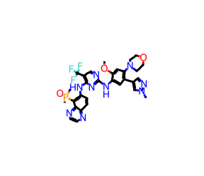 COc1cc(N2CCOCC2)c(-c2cnn(C)c2)cc1Nc1ncc(C(F)(F)F)c(Nc2ccc3nccnc3c2P(C)(C)=O)n1